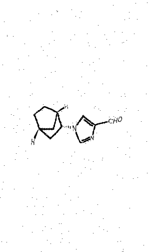 O=Cc1cn([C@@H]2C[C@@H]3CC[C@H]2C3)cn1